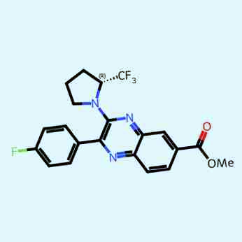 COC(=O)c1ccc2nc(-c3ccc(F)cc3)c(N3CCC[C@@H]3C(F)(F)F)nc2c1